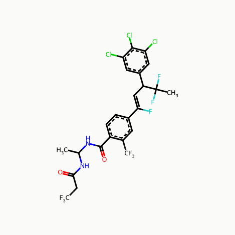 CC(NC(=O)CC(F)(F)F)NC(=O)c1ccc(/C(F)=C/C(c2cc(Cl)c(Cl)c(Cl)c2)C(C)(F)F)cc1C(F)(F)F